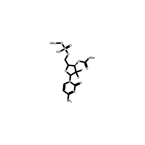 CCCCCCCCCCOP(=O)(O)OCC1OC(n2ccc(N)nc2=O)C(F)(F)[C@@H]1OC(=O)CCCCCCCCCC